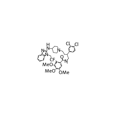 COc1cc(C(=O)N(C)CC(CCN2CCC(Nc3nc4ccccc4n3CC(F)(F)F)CC2)c2ccc(Cl)c(Cl)c2)cc(OC)c1OC